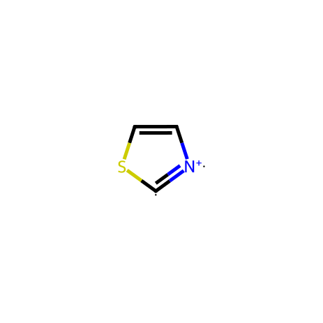 [C]1=[N+]C=CS1